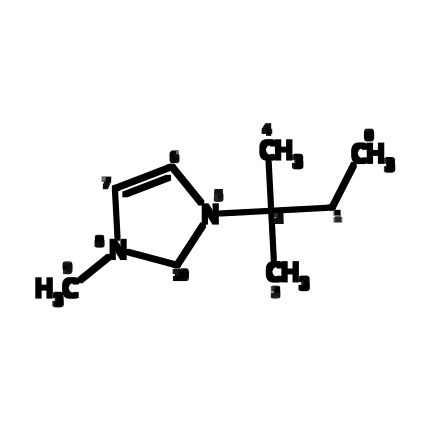 CCC(C)(C)N1C=CN(C)C1